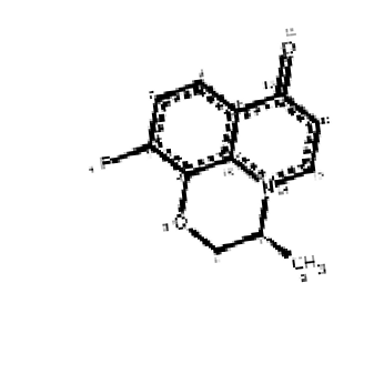 C[C@H]1COc2c(F)ccc3c(=O)ccn1c23